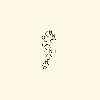 CC(=O)Nc1cc(Oc2ccc3c(c2)nc(Nc2ccc(N4CCOCC4)cc2)n3C)ccn1